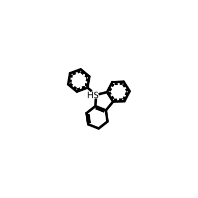 C1=CC2=C(CC1)c1ccccc1[SH]2c1ccccc1